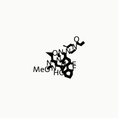 C=CC(=O)N1CCN(c2nc(=O)n(-c3c(C4CC4)nc(OC)nc3C3CC3)c3nc(-c4c(O)cccc4F)c(F)cc23)[C@@H](C)C1